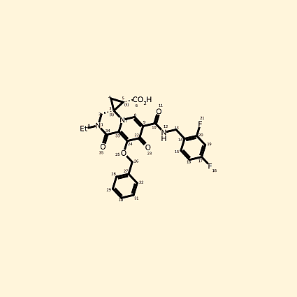 CCN1C[C@@]2(C[C@@H]2C(=O)O)n2cc(C(=O)NCc3ccc(F)cc3F)c(=O)c(OCc3ccccc3)c2C1=O